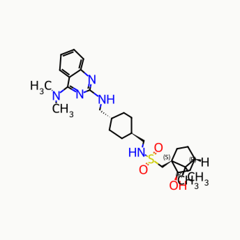 CN(C)c1nc(NC[C@H]2CC[C@H](CNS(=O)(=O)C[C@]34CC[C@H](C[C@H]3O)C4(C)C)CC2)nc2ccccc12